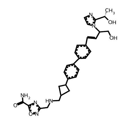 C[C@H](O)c1nccn1C(/C=C/c1ccc(-c2ccc(C3CC(CNCc4noc(C(N)=O)n4)C3)cc2)cc1)CO